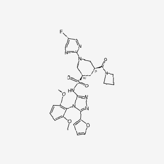 COc1cccc(OC)c1-n1c(NS(=O)(=O)[C@@H]2C[C@H](C(=O)N3CCC3)CN(c3ncc(F)cn3)C2)nnc1-c1ccco1